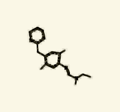 CCN(C)C=Nc1cc(C)c(Cc2ccccn2)cc1C